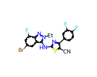 CCn1nc2c(F)cc(Br)cc2c1Nc1nc(-c2ccc(F)c(F)c2)c(C#N)s1